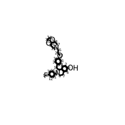 Oc1ccc2c(c1)CCN(c1ccc(F)cc1)C2Cc1ccc(OCCN2CCC3(CC2)OCCO3)cc1